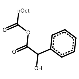 CCCCCCCCC(=O)OC(=O)C(O)c1ccccc1